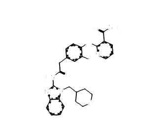 NC(=O)c1cccnc1Oc1ccc(CC(=O)Nc2nc3ccccc3n2CC2CCOCC2)cc1F